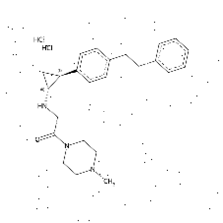 CN1CCN(C(=O)CN[C@@H]2C[C@H]2c2ccc(CCc3ccccc3)cc2)CC1.Cl.Cl